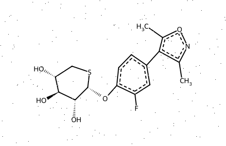 Cc1noc(C)c1-c1ccc(O[C@H]2SC[C@@H](O)[C@H](O)[C@H]2O)c(F)c1